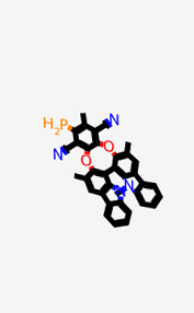 Cc1c(P)c(C#N)c2oc3c(C)cc4c5ccccc5n(C)c4c3c3c(oc2c1C#N)c(C)cc1c2ccccc2n(C)c13